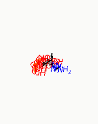 CC#CC1(O)[C@@H](O)[C@@H]([C@@H](C)OP(=O)(O)OP(=O)(O)OP(=O)(O)O)O[C@H]1n1ncc(N)nc1=O